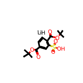 CC(C)(C)OC(=O)c1ccc(C(=O)OC(C)(C)C)c(S(=O)(=O)O)c1.[LiH]